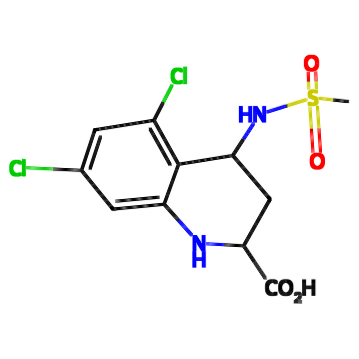 CS(=O)(=O)NC1CC(C(=O)O)Nc2cc(Cl)cc(Cl)c21